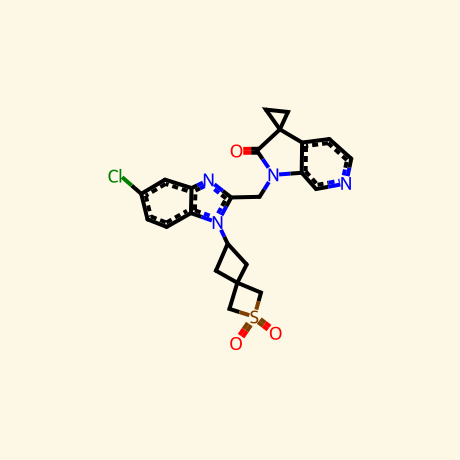 O=C1N(Cc2nc3cc(Cl)ccc3n2C2CC3(C2)CS(=O)(=O)C3)c2cnccc2C12CC2